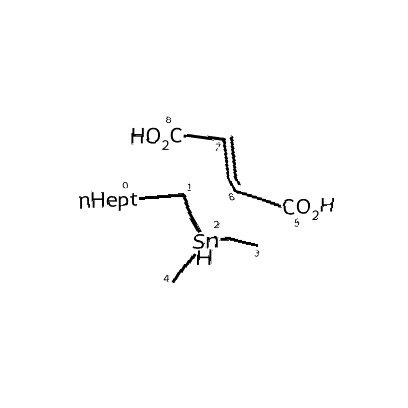 CCCCCCC[CH2][SnH]([CH3])[CH3].O=C(O)/C=C/C(=O)O